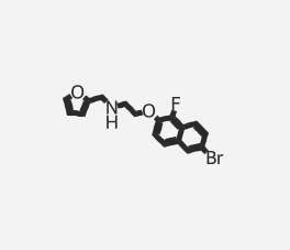 Fc1c(OCCNCc2ccco2)ccc2cc(Br)ccc12